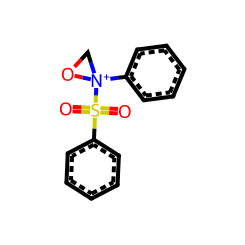 O=S(=O)(c1ccccc1)[N+]1(c2ccccc2)CO1